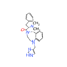 CN(C)C(Cc1ccccc1)C(=O)N1CCN(Cc2c[nH]cn2)c2ccccc2C1